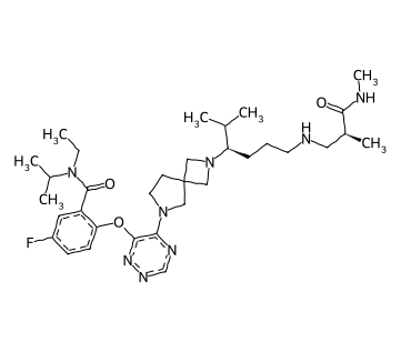 CCN(C(=O)c1cc(F)ccc1Oc1nncnc1N1CCC2(C1)CN([C@H](CCCNC[C@H](C)C(=O)NC)C(C)C)C2)C(C)C